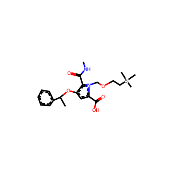 CNC(=O)c1c(OC(C)c2ccccc2)cc(C(=O)O)n1COCC[Si](C)(C)C